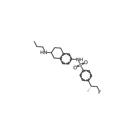 CCCNC1CCc2cc(NS(=O)(=O)c3ccc([C@@H](C)CF)cc3)ccc2C1